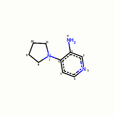 Nc1cnccc1N1CCCC1